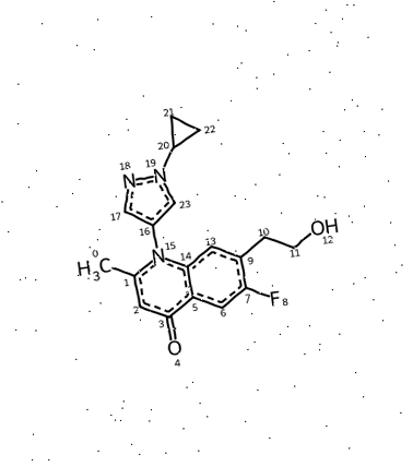 Cc1cc(=O)c2cc(F)c(CCO)cc2n1-c1cnn(C2CC2)c1